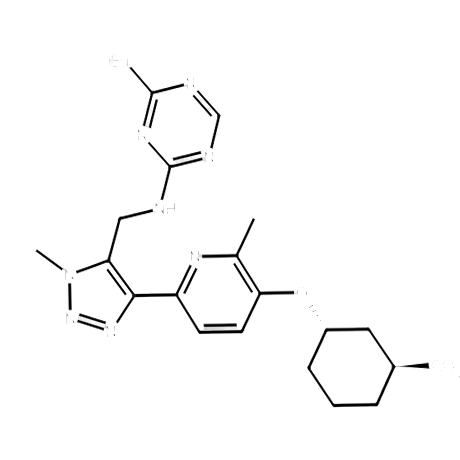 CCC(C)c1ncnc(NCc2c(-c3ccc(O[C@H]4CCC[C@H](C(=O)O)C4)c(C)n3)nnn2C)n1